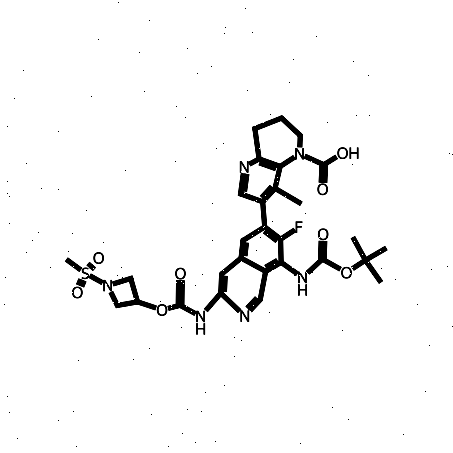 Cc1c(-c2cc3cc(NC(=O)OC4CN(S(C)(=O)=O)C4)ncc3c(NC(=O)OC(C)(C)C)c2F)cnc2c1N(C(=O)O)CCC2